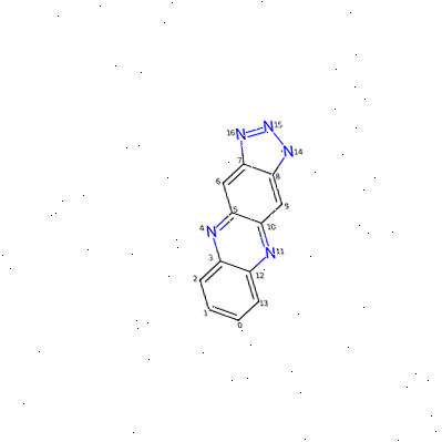 c1ccc2nc3cc4c(cc3nc2c1)[N]N=N4